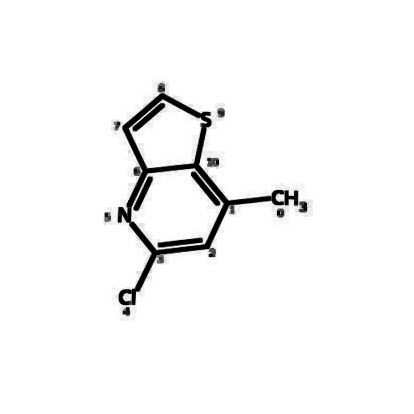 Cc1cc(Cl)nc2ccsc12